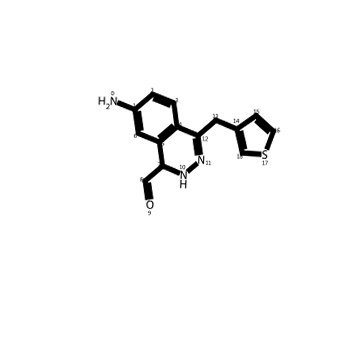 Nc1ccc2c(c1)C(C=O)NN=C2Cc1ccsc1